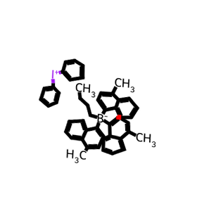 CCCC[B-](c1ccc(C)c2ccccc12)(c1ccc(C)c2ccccc12)c1ccc(C)c2ccccc12.c1ccc([I+]c2ccccc2)cc1